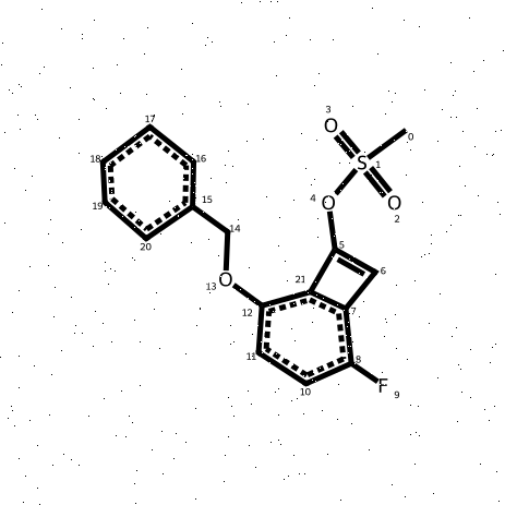 CS(=O)(=O)OC1=Cc2c(F)ccc(OCc3ccccc3)c21